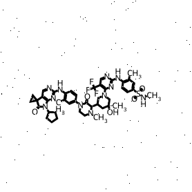 CNS(=O)(=O)c1ccc(Nc2ncc(C(F)(F)F)c(N3CC(C4C(=O)N(c5ccc(Nc6ncc7c(n6)N(C6CCCC6)C(=O)C76CC6)c(C)c5)CCN4C)C[C@](C)(O)C3)n2)c(C)c1